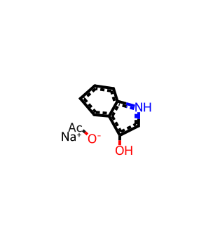 CC(=O)[O-].Oc1c[nH]c2ccccc12.[Na+]